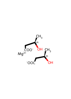 C[C@@H](O)CC(=O)[O-].C[C@@H](O)CC(=O)[O-].[Mg+2]